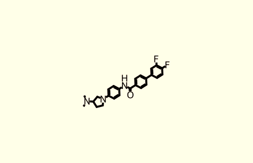 CN(C)C1CCN(c2ccc(NC(=O)c3ccc(-c4ccc(F)c(F)c4)cc3)cc2)C1